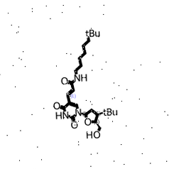 CC(C)(C)CCCCCCNC(=O)/C=C/c1cn([C@H]2C[C@@H](C(C)(C)C)[C@@H](CO)O2)c(=O)[nH]c1=O